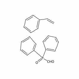 C=Cc1ccccc1.O=CP(=O)(c1ccccc1)c1ccccc1